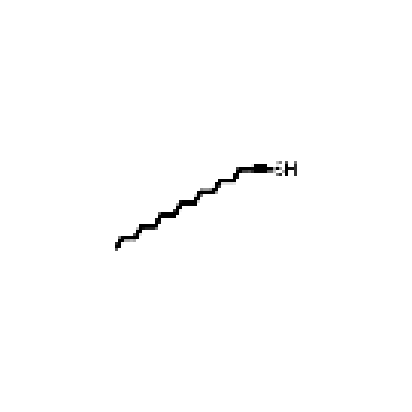 CCCCCCCCCCCCCCC#CS